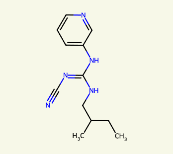 CCC(C)CNC(=NC#N)Nc1cccnc1